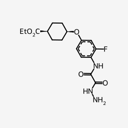 CCOC(=O)[C@H]1CC[C@@H](Oc2ccc(NC(=O)C(=O)NN)c(F)c2)CC1